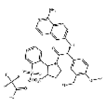 CCOc1cc([C@H](Nc2ccc3c(N)nccc3c2)C(=O)N2CCC(C(=O)O)C2c2ccccc2S(=O)(=O)C(C)C)ccc1OC(C)C.O=C(O)C(F)(F)F